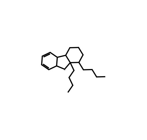 CCCCC1CCCC2C3C=CC=CC3[C]C12CCCC